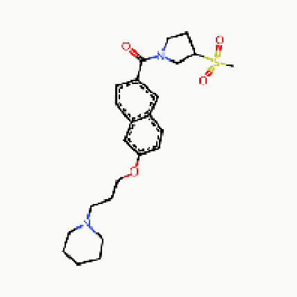 CS(=O)(=O)C1CCN(C(=O)c2ccc3cc(OCCCN4CCCCC4)ccc3c2)C1